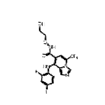 O=C(NOCCO)c1cc(C(F)(F)F)n2cncc2c1Nc1ccc(I)cc1F